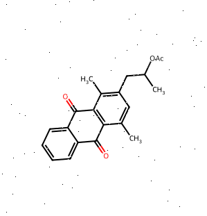 CC(=O)OC(C)Cc1cc(C)c2c(c1C)C(=O)c1ccccc1C2=O